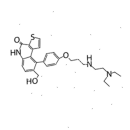 CCN(CC)CCNCCCOc1ccc(-c2c(CO)ccc3[nH]c(=O)c4sccc4c23)cc1